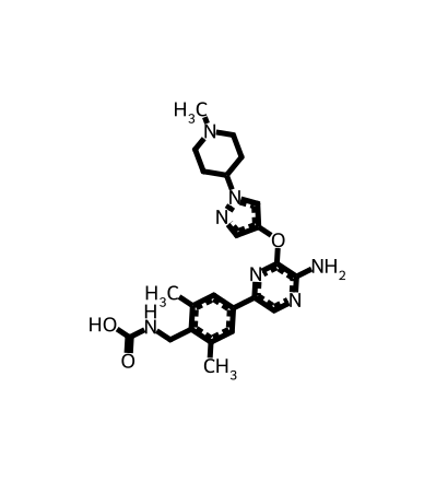 Cc1cc(-c2cnc(N)c(Oc3cnn(C4CCN(C)CC4)c3)n2)cc(C)c1CNC(=O)O